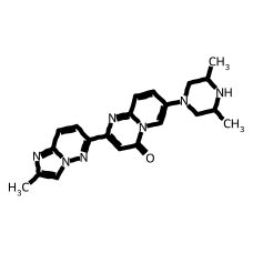 Cc1cn2nc(-c3cc(=O)n4cc(N5CC(C)NC(C)C5)ccc4n3)ccc2n1